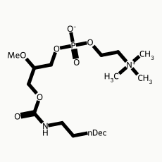 CCCCCCCCCCCCNC(=O)OCC(COP(=O)([O-])OCC[N+](C)(C)C)OC